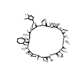 CC[C@H](C)[C@@H]1NC(=O)[C@H](CC(C)C)N(C)C(=O)C[C@@H](C)N(C)C(=O)[C@H](CC(C)C)NC(=O)C(C)(C)N(C)C(=O)[C@H](CC(C)C)NC(=O)[C@H](CCc2ccc(C(F)(F)F)c(Cl)c2)NC(=O)[C@@H](C)N(C)C(=O)[C@H](CC2CCCCC2)N(C)C(=O)[C@@H]2CCN2C(=O)CN(C)C1=O